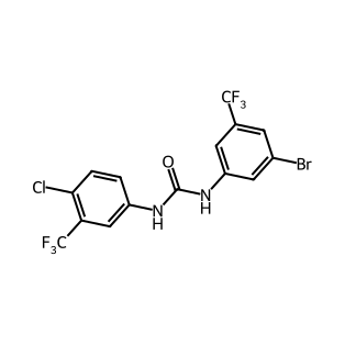 O=C(Nc1cc(Br)cc(C(F)(F)F)c1)Nc1ccc(Cl)c(C(F)(F)F)c1